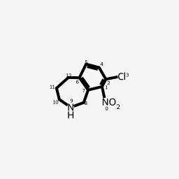 O=[N+]([O-])c1c(Cl)ccc2c1CNCCC2